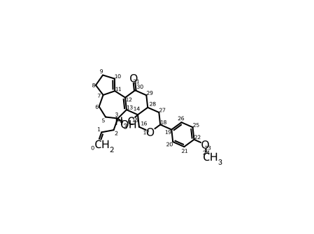 C=CCC1(O)CCC2CCC=C2C2=C1C1(C)COC(c3ccc(OC)cc3)CC1CC2=O